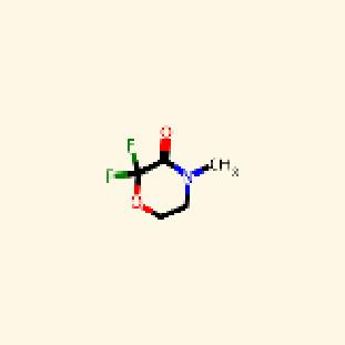 CN1CCOC(F)(F)C1=O